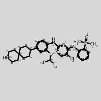 CP(C)(=O)c1ccccc1Nc1nc(Nc2ccc(C3CCC4(CCNCC4)CC3)cc2OC(F)F)ncc1Cl